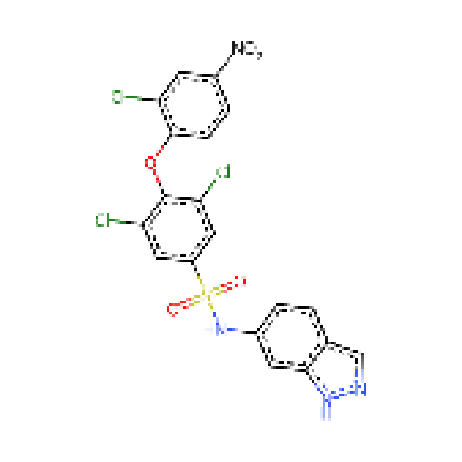 O=[N+]([O-])c1ccc(Oc2c(Cl)cc(S(=O)(=O)Nc3ccc4cn[nH]c4c3)cc2Cl)c(Cl)c1